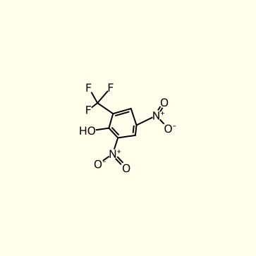 O=[N+]([O-])c1cc([N+](=O)[O-])c(O)c(C(F)(F)F)c1